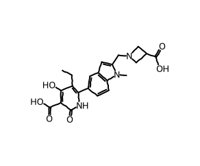 CCc1c(-c2ccc3c(c2)cc(CN2CC(C(=O)O)C2)n3C)[nH]c(=O)c(C(=O)O)c1O